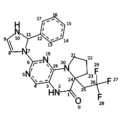 O=C1Nc2cnc(N3C=CNC3c3ccccc3)nc2N2CCCC12CC(F)(F)F